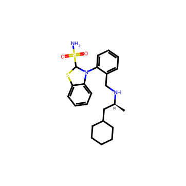 C[C@@H](CC1CCCCC1)NCc1ccccc1N1c2ccccc2SC1S(N)(=O)=O